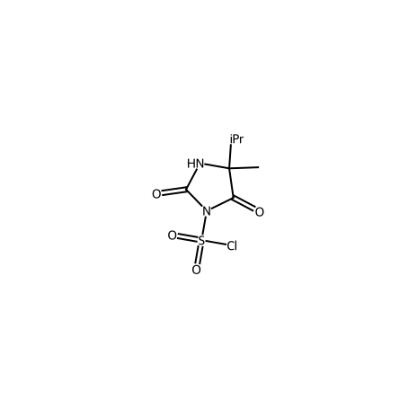 CC(C)C1(C)NC(=O)N(S(=O)(=O)Cl)C1=O